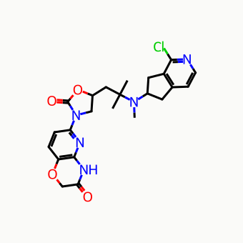 CN(C1Cc2ccnc(Cl)c2C1)C(C)(C)CC1CN(c2ccc3c(n2)NC(=O)CO3)C(=O)O1